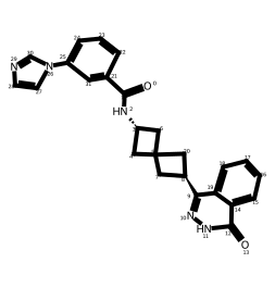 O=C(N[C@H]1CC2(C1)C[C@H](c1n[nH]c(=O)c3ccccc31)C2)c1cccc(-n2ccnc2)c1